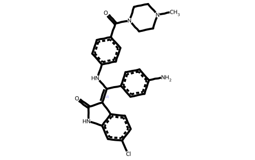 CN1CCN(C(=O)c2ccc(N/C(=C3\C(=O)Nc4cc(Cl)ccc43)c3ccc(N)cc3)cc2)CC1